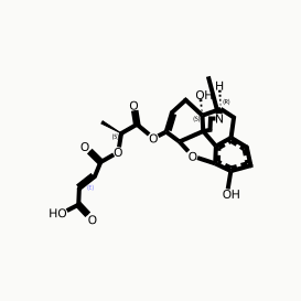 C[C@H](OC(=O)/C=C/C(=O)O)C(=O)OC1=CC[C@@]2(O)[C@H]3Cc4ccc(O)c5c4C2(CCN3C)C1O5